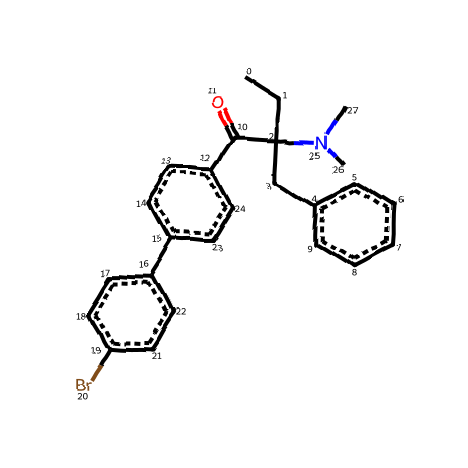 CCC(Cc1ccccc1)(C(=O)c1ccc(-c2ccc(Br)cc2)cc1)N(C)C